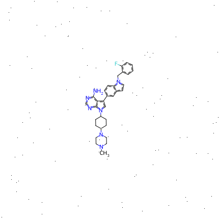 CN1CCN(C2CCC(n3cc(-c4ccc5c(ccn5Cc5ccccc5F)c4)c4c(N)ncnc43)CC2)CC1